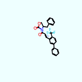 O=C(/C=C/c1cc(-c2ccccc2)ccc1C(F)(F)F)N1C(=O)OCC1Cc1ccccc1